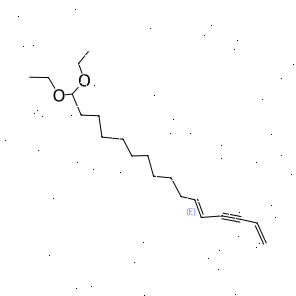 C=CC#C/C=C/CCCCCCCCCC(OCC)OCC